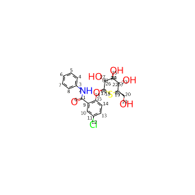 O=C(Nc1ccccc1)c1cc(Cl)ccc1O[C@@H]1S[C@H](CO)[C@@H](O)[C@H](O)[C@H]1O